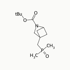 CC(C)(C)OC(=O)N1CC2(CP(C)(C)=O)CC1C2